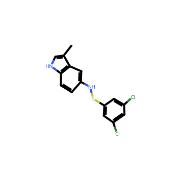 Cc1c[nH]c2ccc(NSc3cc(Cl)cc(Cl)c3)cc12